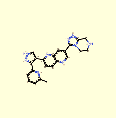 Cc1cccc(-c2n[nH]cc2-c2ccc3ncc(-c4nnc5n4CCNC5)cc3n2)n1